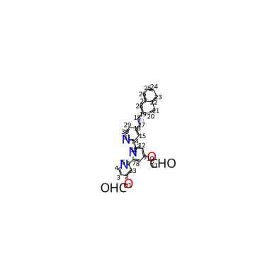 O=COc1ccnc(-c2cc(OC=O)cc(-c3cc(/C=C/c4ccc5ccccc5c4)ccn3)n2)c1